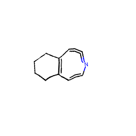 C1=CC2=C(C=CN=1)CCCC2